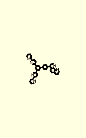 c1ccc(-c2ccc(-c3cc(-c4ccc(-c5ccnc6c5ccc5cccnc56)cc4)cc(-c4ccc(-c5ccccn5)nc4)c3)cn2)nc1